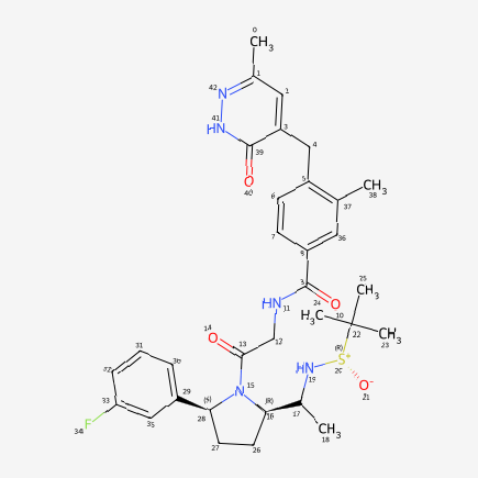 Cc1cc(Cc2ccc(C(=O)NCC(=O)N3[C@@H](C(C)N[S@@+]([O-])C(C)(C)C)CC[C@H]3c3cccc(F)c3)cc2C)c(=O)[nH]n1